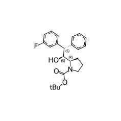 CC(C)(C)OC(=O)N1CCC[C@@H]1[C@@H](O)[C@@H](c1ccccc1)c1cccc(F)c1